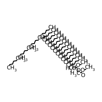 CCCCCC.CCCCCC.CCCCCC.CCCCCC.CCCCCC.CCCCCC.CCCCCC.CCCCCC.CCCCCC.CCCCCC.CCCCCC.CCCCCC.CCCCCC.CCCCCC.CCCCCC.CCOC(C)=O.CCOC(C)=O